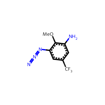 COc1c(N)cc(C(F)(F)F)cc1N=[N+]=[N-]